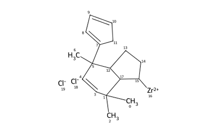 CC1(C)C=CC(C)(C2=CC=CC2)C2CC[CH]([Zr+2])C21.[Cl-].[Cl-]